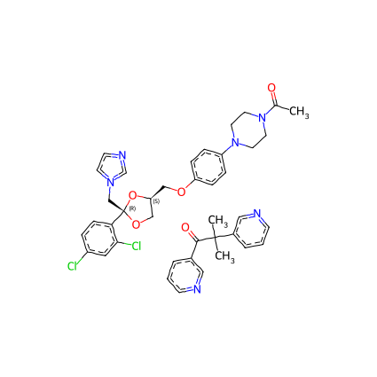 CC(=O)N1CCN(c2ccc(OC[C@H]3CO[C@](Cn4ccnc4)(c4ccc(Cl)cc4Cl)O3)cc2)CC1.CC(C)(C(=O)c1cccnc1)c1cccnc1